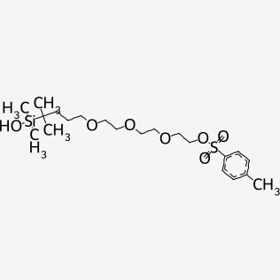 Cc1ccc(S(=O)(=O)OCCOCCOCCOCCCC(C)(C)[Si](C)(C)O)cc1